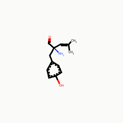 CC(C)=C[C@@](N)(C=O)Cc1ccc(O)cc1